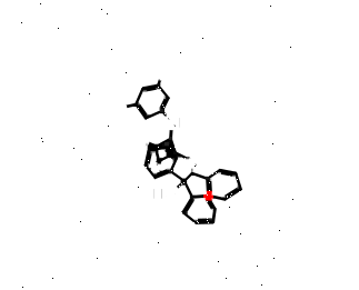 O=c1c(Nc2cc(F)cc(F)c2)c(N[C@@H](c2ccccc2)C(O)(c2ccccc2)c2ccccc2)c1=O